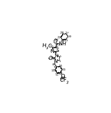 Cc1nc(N2CCN(Cc3ccc(OC(F)(F)F)cc3)C2=O)sc1C(=O)NC1=CCCC=C1